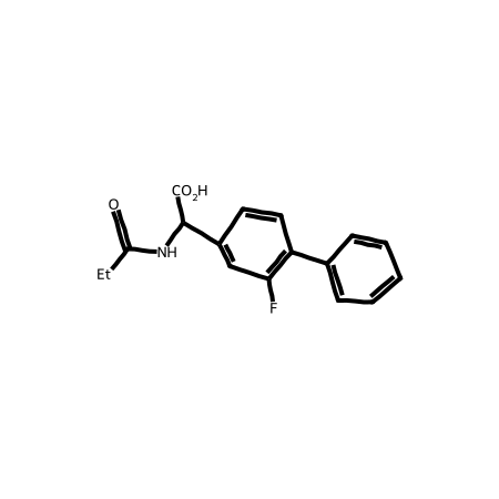 CCC(=O)NC(C(=O)O)c1ccc(-c2ccccc2)c(F)c1